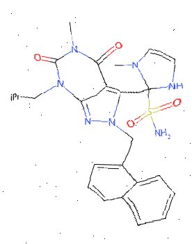 CC(C)Cn1c(=O)n(C)c(=O)c2c(C3(S(N)(=O)=O)NC=CN3C)n(Cc3cccc4ccccc34)nc21